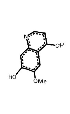 COc1cc2c(O)ccnc2cc1O